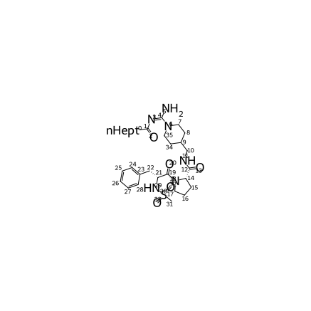 CCCCCCCC(=O)/N=C(/N)N1CCC(CNC(=O)[C@@H]2CCCN2C(=O)[C@@H](Cc2ccccc2)NS(C)(=O)=O)CC1